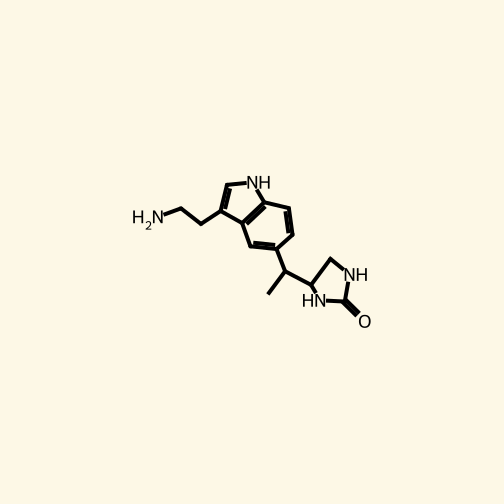 CC(c1ccc2[nH]cc(CCN)c2c1)C1CNC(=O)N1